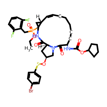 CCOP(=O)(Cc1c(F)cccc1F)[C@@]12C[C@@H]1/C=C\CCCCC[C@H](NC(=O)OC1CCCC1)C(=O)N1C[C@@H](OSc3ccc(Br)cc3)C[C@H]1C(=O)N2